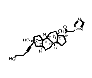 C[C@]12CC[C@](O)(C#CCCO)C[C@H]1CC[C@@H]1[C@@H]2CC[C@]2(C)[C@@H](C(=O)Cn3cncn3)CC[C@@H]12